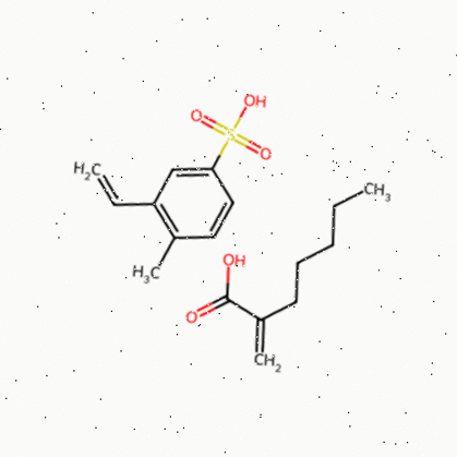 C=C(CCCCC)C(=O)O.C=Cc1cc(S(=O)(=O)O)ccc1C